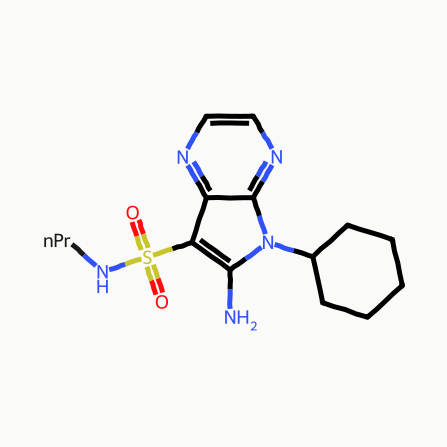 CCCNS(=O)(=O)c1c(N)n(C2CCCCC2)c2nccnc12